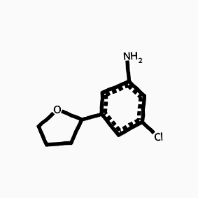 Nc1cc(Cl)cc(C2CCCO2)c1